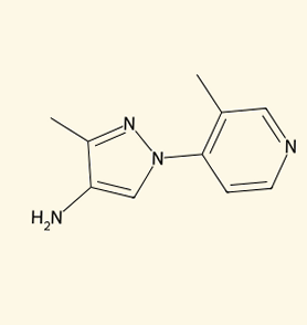 Cc1cnccc1-n1cc(N)c(C)n1